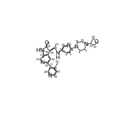 CC(Nc1ccc(N2CCN(C3COC3)CC2)nc1)=C1C(=O)Nc2cnc(-c3cnccc3C)cc21